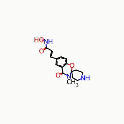 CN1C(=O)c2cc(C=CC(=O)NO)ccc2OC12CCNCC2